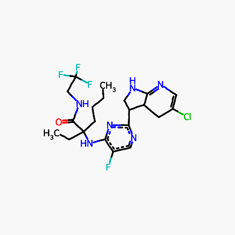 CCCCC(CC)(Nc1nc(C2CNC3=NC=C(Cl)CC32)ncc1F)C(=O)NCC(F)(F)F